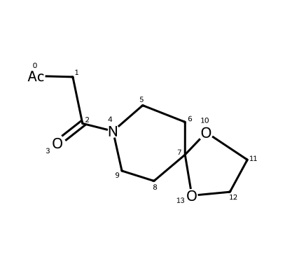 CC(=O)CC(=O)N1CCC2(CC1)OCCO2